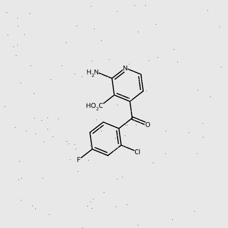 Nc1nccc(C(=O)c2ccc(F)cc2Cl)c1C(=O)O